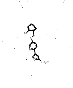 CCOC(=O)c1cc(-c2ccc(OCc3ccccc3Cl)cn2)no1